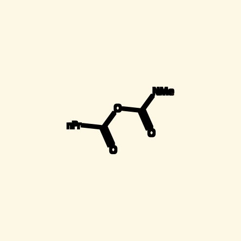 CCCC(=O)OC(=O)NC